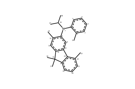 Cc1ccccc1N(c1cc2c(cc1C)C(C)(C)c1cccc(C)c1-2)C(C)C